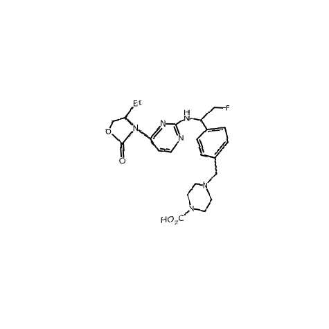 CCC1COC(=O)N1c1ccnc(NC(CF)c2ccc(CN3CCN(C(=O)O)CC3)cc2)n1